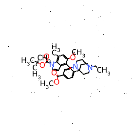 CCN1CCC2(c3ccc(C(=O)OC)cc3)CC1CCN2Cc1c(OC)cc(C)c2c1ccn2C(=O)OC(C)(C)C